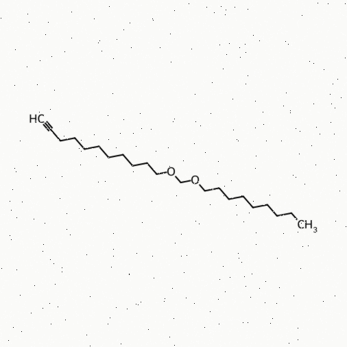 C#CCCCCCCCCCOCOCCCCCCCCC